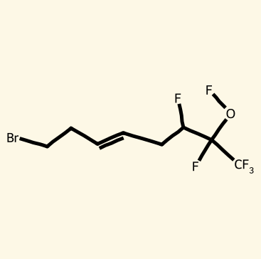 FOC(F)(C(F)CC=CCCBr)C(F)(F)F